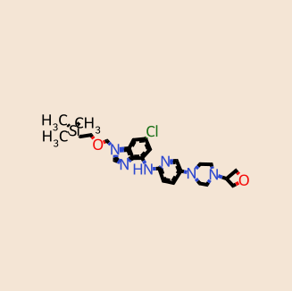 C[Si](C)(C)CCOCn1cnc2c(Nc3ccc(N4CCN(C5COC5)CC4)cn3)cc(Cl)cc21